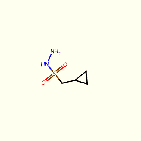 NNS(=O)(=O)CC1CC1